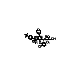 COc1ccc(Cl)c(Oc2c(COCC(O)CO)nc(N3CCOCC3)nc2NS(=O)(=O)c2ccc(C(C)(C)C)cc2)c1